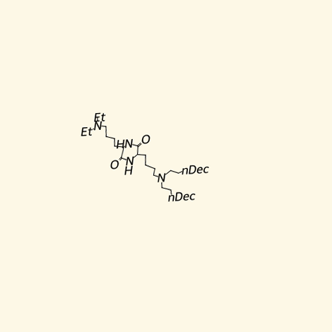 CCCCCCCCCCCCN(CCCCCCCCCCCC)CCCCC1NC(=O)C(CCCCN(CC)CC)NC1=O